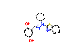 Oc1ccc(O)c(/C=N/N(c2nc3ccccc3s2)C2CCCCC2)c1